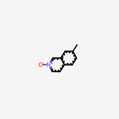 Cc1ccc2cc[n+]([O-])cc2c1